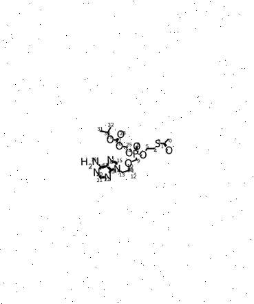 CC(=O)SCCOP(=O)(CO[C@H](C)Cn1cnc2c(N)ncnc21)OCOC(=O)OC(C)C